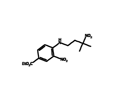 CCOC(=O)c1ccc(NCCC(C)(C)[N+](=O)[O-])c([N+](=O)[O-])c1